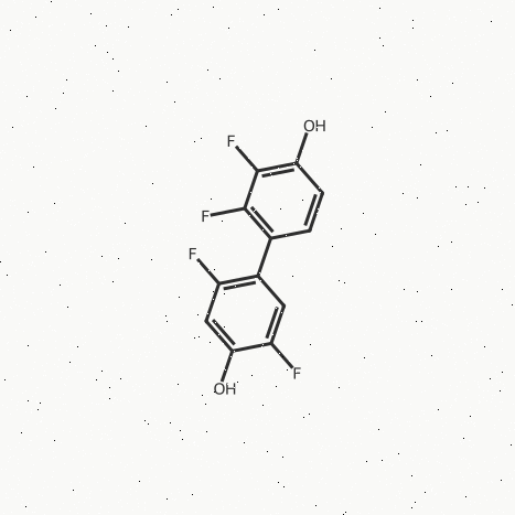 Oc1cc(F)c(-c2ccc(O)c(F)c2F)cc1F